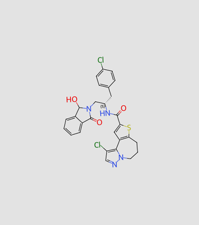 O=C(N[C@@H](Cc1ccc(Cl)cc1)CN1C(=O)c2ccccc2C1O)c1cc2c(s1)CCCn1ncc(Cl)c1-2